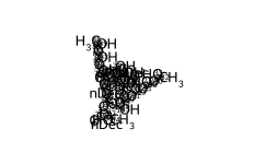 CCCCCCCCCCOCCC(COCC(C)(COCC(CO)OCC(COCC(COCC(O)COCC(C)O)OCC(CO)OCCCCCCCCCC)OCC(CCOC[C@@H](C)O)OCCCCCCCCCC)COCC(COCC(O)CO)OCC(COCC(CO)OCCCCCCCCCC)OCC(O)COCC(O)COC[C@H](C)O)OCCC(C)O